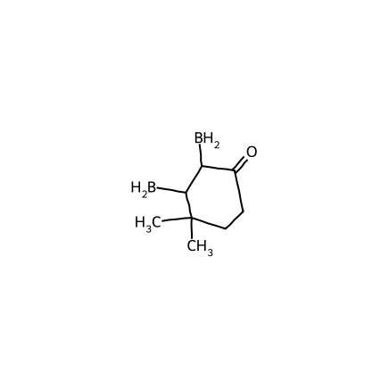 BC1C(=O)CCC(C)(C)C1B